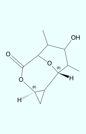 CC1C2O[C@H](C(C)C1O)C1C[C@H]1OC2=O